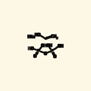 C=CO.O=P(O)(O)OP(=O)(O)O.[NaH]